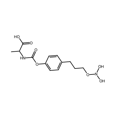 CC(NC(=O)Oc1ccc(CCCON(O)O)cc1)C(=O)O